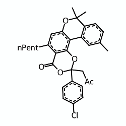 CCCCCc1cc2c(c3c1C(=O)OC(CC(C)=O)(c1ccc(Cl)cc1)O3)-c1cc(C)ccc1C(C)(C)O2